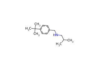 CC(C)CNCc1ccc(C(C)(C)C)cc1